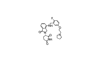 O=C1CC[C@H](N2Cc3c(NCc4cc(OCCN5CCCC5)ccc4F)cccc3C2=O)C(=O)N1